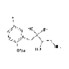 COc1ccc(F)cc1CC(O)(C(C)C)C(O)CN